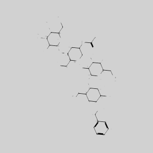 CC(=O)NC1[C@H](O[C@@H]2C(O)[C@H](O[C@@H]3C(CO)C[C@@H](OCc4ccccc4)C(O)[C@H]3O)OC(CO)[C@@H]2O)OC(CO)[C@@H](O[C@@H]2OC(CO)[C@H](O)[C@H](O)C2O)[C@@H]1O